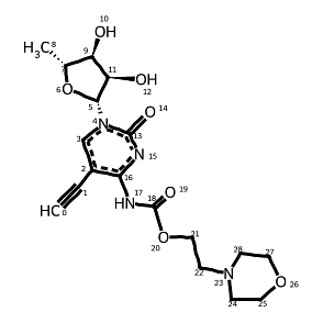 C#Cc1cn([C@@H]2O[C@H](C)[C@@H](O)[C@H]2O)c(=O)nc1NC(=O)OCCN1CCOCC1